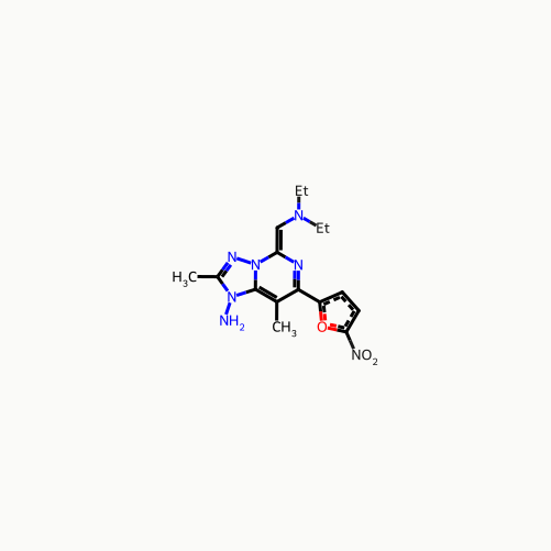 CCN(C=C1N=C(c2ccc([N+](=O)[O-])o2)C(C)=C2N(N)C(C)=NN12)CC